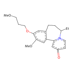 CCC1CCc2cc(OCCCOC)c(OC)cc2-c2cc(=O)ccn21